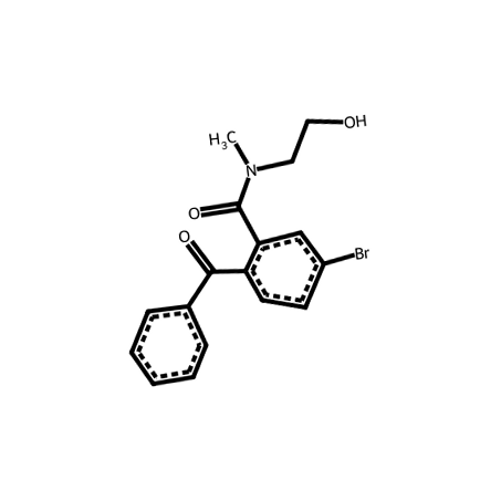 CN(CCO)C(=O)c1cc(Br)ccc1C(=O)c1ccccc1